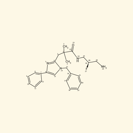 CC(C)([CH]c1nc(-c2ccccc2)cn1Cc1ccccc1)C(=O)NC[C@H](F)CN